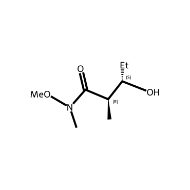 CC[C@H](O)[C@@H](C)C(=O)N(C)OC